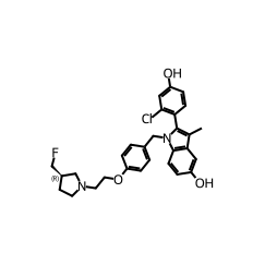 Cc1c(-c2ccc(O)cc2Cl)n(Cc2ccc(OCCN3CC[C@@H](CF)C3)cc2)c2ccc(O)cc12